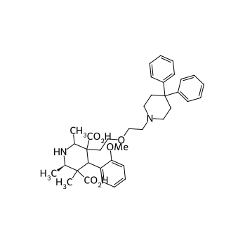 COc1ccccc1C1C(CCOCCN2CCC(c3ccccc3)(c3ccccc3)CC2)(C(=O)O)C(C)N[C@H](C)C1(C)C(=O)O